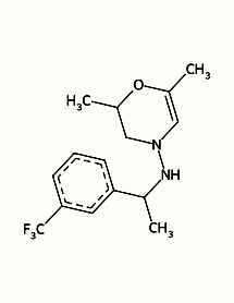 CC1=CN(NC(C)c2cccc(C(F)(F)F)c2)CC(C)O1